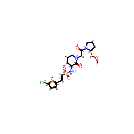 COC[C@H]1CCCN1C(=O)CN1CCC[C@H](NS(=O)(=O)/C=C/c2ccc(Cl)s2)C1=O